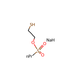 CCCS(=O)(=O)OCCS.[NaH]